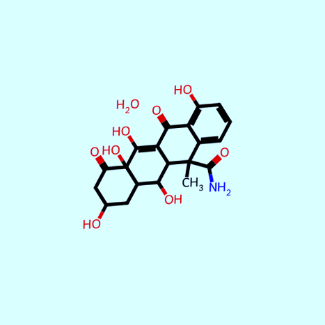 CC1(C(N)=O)c2cccc(O)c2C(=O)C2=C(O)C3(O)C(=O)CC(O)CC3C(O)C21.O